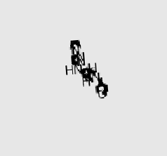 c1cc(N2CCCC2)nnc1N[C@H]1C[C@@H]2CN(CC3CCOCC3)C[C@@H]2C1